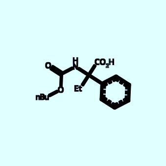 CCCCOC(=O)NC(CC)(C(=O)O)c1ccccc1